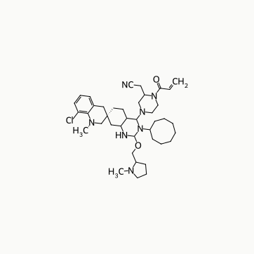 C=CC(=O)N1CCN(C2C3CC[C@]4(Cc5cccc(Cl)c5N(C)C4)CC3NC(OCC3CCCN3C)N2C2CCCCCCC2)CC1CC#N